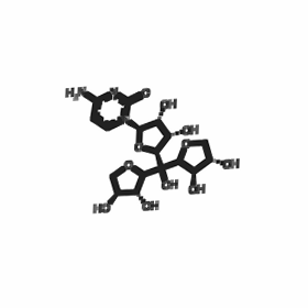 Nc1ccn([C@@H]2O[C@H](C(O)(C3OC[C@H](O)[C@H]3O)C3OC[C@H](O)[C@H]3O)[C@@H](O)[C@H]2O)c(=O)n1